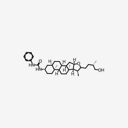 C[C@H](CO)CCC1O[C@H]2C[C@H]3[C@@H]4CC[C@@H]5C[C@H](NC(=O)Nc6ccccc6)CC[C@]5(C)[C@H]4CC[C@]3(C)[C@H]2[C@@H]1C